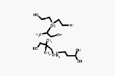 CC(C)(CO)CO.CC(O)CO.CCCC(O)O.OCCOCCO